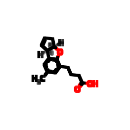 Cc1cc(CCCC(=O)O)c2c(c1)[C@H]1C=CC[C@H]1O2